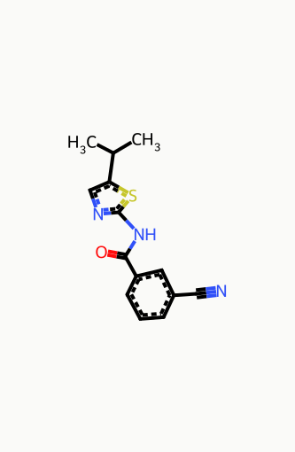 CC(C)c1cnc(NC(=O)c2cccc(C#N)c2)s1